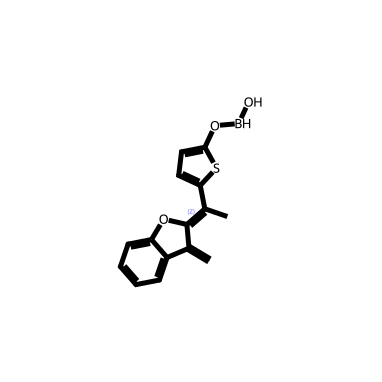 C=c1/c(=C(\C)c2ccc(OBO)s2)oc2ccccc12